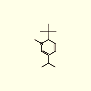 CC(C)C1=CN(C)C(C(C)(C)C)C=C1